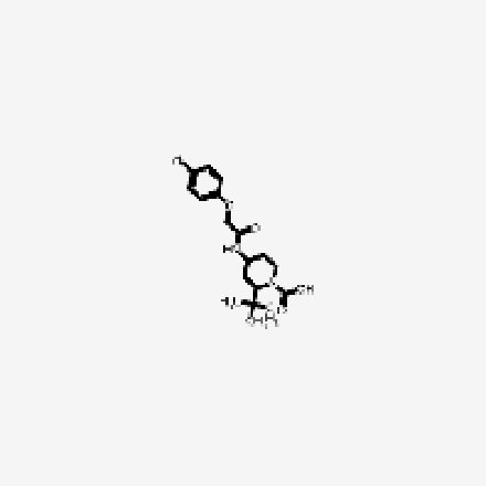 CC(C)(C)C1CC(NC(=O)COc2ccc(Cl)cc2)CCN1C(=O)O